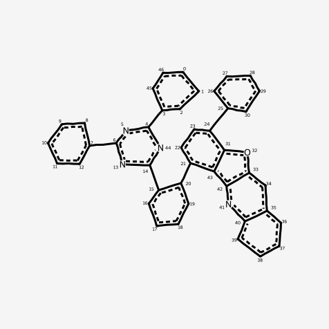 c1ccc(-c2nc(-c3ccccc3)nc(-c3ccccc3-c3ccc(-c4ccccc4)c4oc5cc6ccccc6nc5c34)n2)cc1